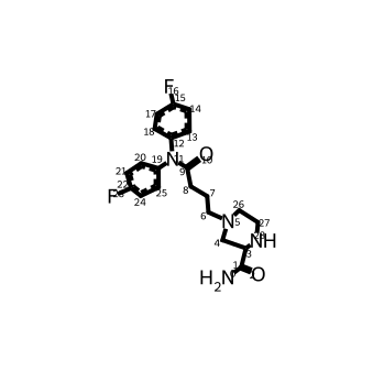 NC(=O)C1CN(CCCC(=O)N(c2ccc(F)cc2)c2ccc(F)cc2)CCN1